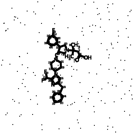 CC(C)(CC(=O)O)N1CC(CN2CCC(n3cc(Cc4ccccc4)nc3C(F)F)CC2)C(c2cccc(F)c2)C1